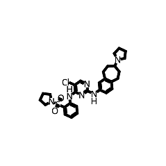 O=S(=O)(c1ccccc1Nc1nc(Nc2ccc3c(c2)CCC(N2CCCC2)CC3)ncc1Cl)N1CCCC1